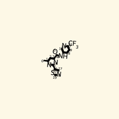 Cc1cc(C(=O)Nc2ccc(C(F)(F)F)nc2)nc(-c2cncs2)n1